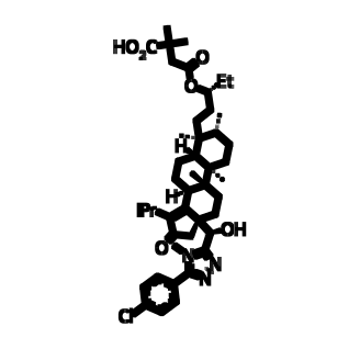 CC[C@H](CC[C@@]1(C)[C@H](C)CC[C@]2(C)[C@@H]1CC[C@@H]1C3=C(C(C)C)C(=O)C[C@]3([C@@H](O)c3nnc(-c4ccc(Cl)cc4)n3C)CC[C@]12C)OC(=O)CC(C)(C)C(=O)O